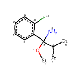 CCOC(N)([C](CC)CC)c1ccccc1F